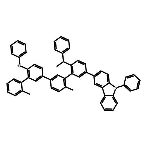 Cc1ccccc1-c1cc(-c2ccc(C)c(-c3cc(-c4ccc5c(c4)c4ccccc4n5-c4ccccc4)ccc3C(C)c3ccccc3)c2)ccc1Nc1ccccc1